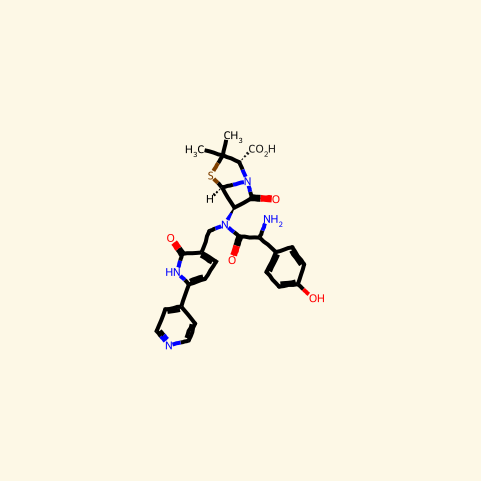 CC1(C)S[C@@H]2[C@H](N(Cc3ccc(-c4ccncc4)[nH]c3=O)C(=O)C(N)c3ccc(O)cc3)C(=O)N2[C@H]1C(=O)O